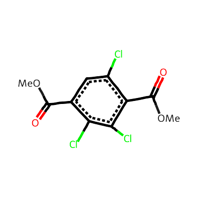 COC(=O)c1cc(Cl)c(C(=O)OC)c(Cl)c1Cl